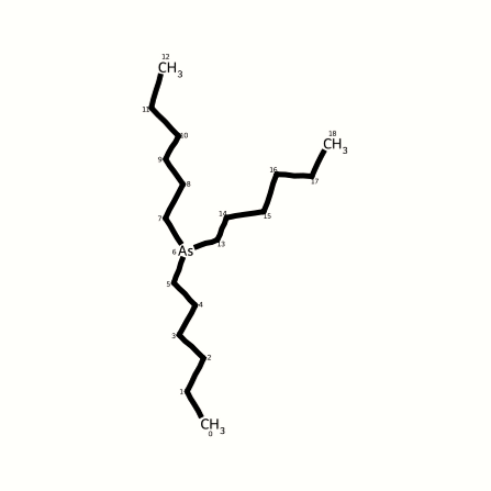 CCCCCC[As](CCCCCC)CCCCCC